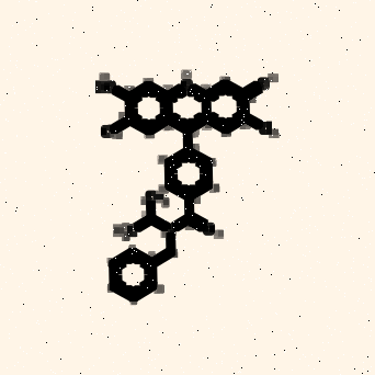 CC(C)N(Cc1ccccc1)C(=O)c1ccc(-c2c3cc(Cl)c(=O)cc-3oc3cc(O)c(Cl)cc23)cc1